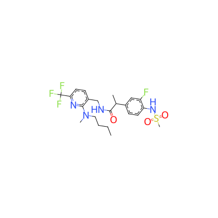 CCCCN(C)c1nc(C(F)(F)F)ccc1CNC(=O)C(C)c1ccc(NS(C)(=O)=O)c(F)c1